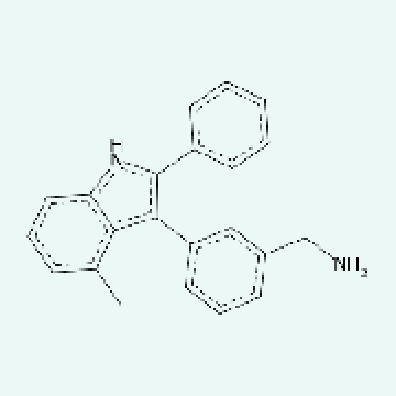 Cc1cccc2[nH]c(-c3ccccc3)c(-c3cccc(CN)c3)c12